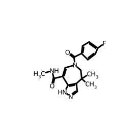 CNC(=O)C1=CN(C(=O)c2ccc(F)cc2)CC(C)(C)c2cn[nH]c21